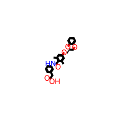 Cc1cc(OC[C@@H]2COc3ccccc3O2)cc(C)c1C(=O)Nc1cccc(CC(=O)O)c1